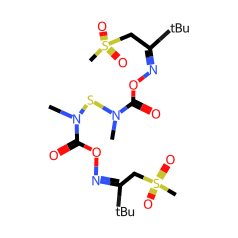 CN(SN(C)C(=O)ON=C(CS(C)(=O)=O)C(C)(C)C)C(=O)ON=C(CS(C)(=O)=O)C(C)(C)C